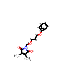 CC1=C(C)C(=O)N(COCCCOC2CC3C=CC2C3)C1=O